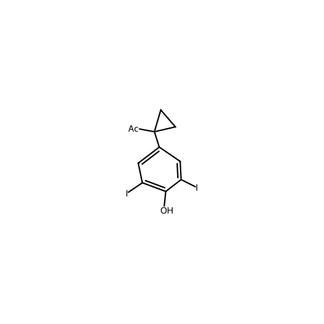 CC(=O)C1(c2cc(I)c(O)c(I)c2)CC1